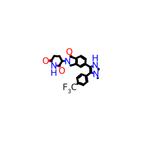 CN1CNC(c2ccc3c(c2)CN(C2CCC(=O)NC2=O)C3=O)=C1c1ccc(C(F)(F)F)cc1